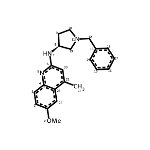 COc1ccc2nc(N[C@H]3CCN(Cc4ccccc4)C3)cc(C)c2c1